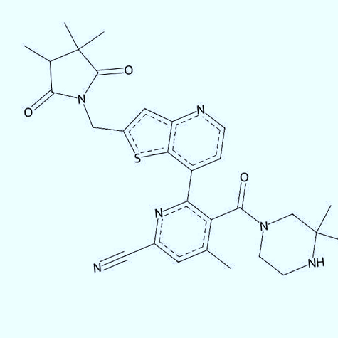 Cc1cc(C#N)nc(-c2ccnc3cc(CN4C(=O)C(C)C(C)(C)C4=O)sc23)c1C(=O)N1CCNC(C)(C)C1